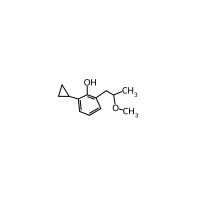 COC(C)Cc1cccc(C2CC2)c1O